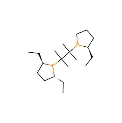 CC[C@@H]1CCCP1C(C)(C)C(C)(C)P1[C@H](CC)CC[C@H]1CC